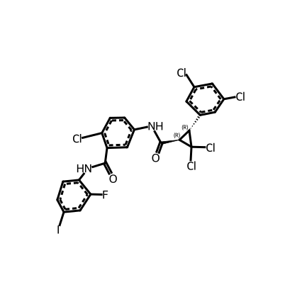 O=C(Nc1ccc(I)cc1F)c1cc(NC(=O)[C@H]2[C@H](c3cc(Cl)cc(Cl)c3)C2(Cl)Cl)ccc1Cl